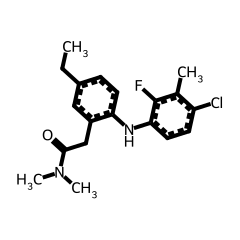 CCc1ccc(Nc2ccc(Cl)c(C)c2F)c(CC(=O)N(C)C)c1